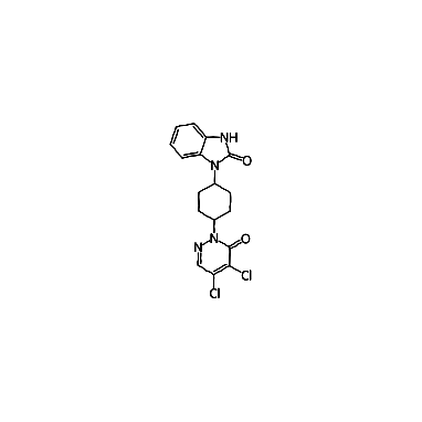 O=c1c(Cl)c(Cl)cnn1C1CCC(n2c(=O)[nH]c3ccccc32)CC1